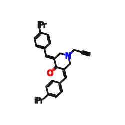 C#CCN1C/C(=C/c2ccc(C(C)C)cc2)C(=O)/C(=C/c2ccc(C(C)C)cc2)C1